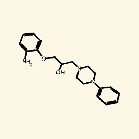 Nc1ccccc1OCC(O)CN1CCN(c2ccccc2)CC1